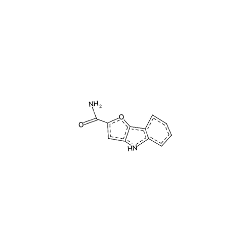 NC(=O)c1cc2[nH]c3ccccc3c2o1